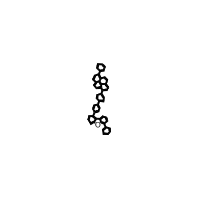 c1ccc(-c2ccc3ccc4c(-c5ccc(-c6ccc(-c7cccc8oc9c(-c%10ccccc%10)cccc9c78)cc6)cc5)ccc5ccc2c3c54)cc1